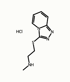 CNCCSc1nnc2ccccn12.Cl